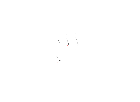 CC[O-].CC[O-].CC[O-].CC[O-].[Os+4]